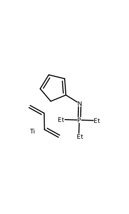 C=CC=C.CCP(CC)(CC)=NC1=CC=CC1.[Ti]